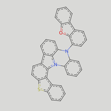 c1ccc2c(c1)N(c1cccc3c1oc1ccccc13)c1cccc3c4ccc5sc6ccccc6c5c4n-2c13